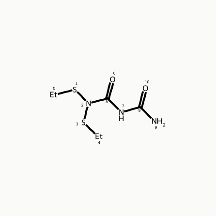 CCSN(SCC)C(=O)NC(N)=O